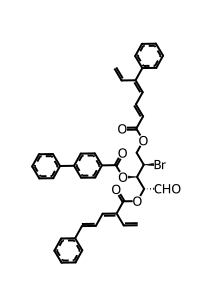 C=C/C(=C\C=C\c1ccccc1)C(=O)O[C@@H](C=O)[C@@H](OC(=O)c1ccc(-c2ccccc2)cc1)[C@H](Br)COC(=O)/C=C/C=C(\C=C)c1ccccc1